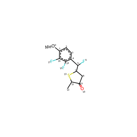 COc1ccc(C(F)C2CC(=O)C(C)S2)c(F)c1F